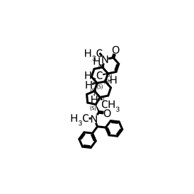 CN(C(=O)[C@H]1CC[C@H]2[C@@H]3CC[C@H]4N(C)C(=O)C=C[C@]4(C)[C@H]3CC[C@]12C)C(c1ccccc1)c1ccccc1